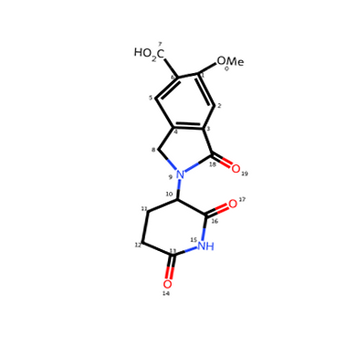 COc1cc2c(cc1C(=O)O)CN(C1CCC(=O)NC1=O)C2=O